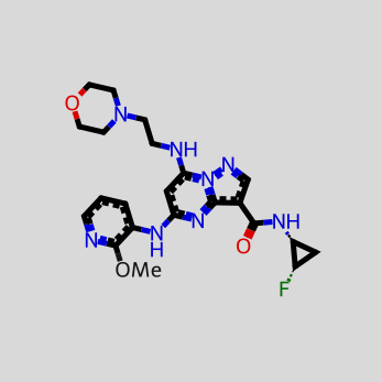 COc1ncccc1Nc1cc(NCCN2CCOCC2)n2ncc(C(=O)N[C@@H]3C[C@@H]3F)c2n1